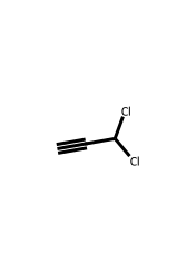 C#CC(Cl)Cl